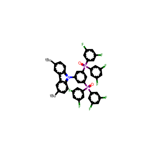 CC(C)(C)c1ccc2c(c1)c1cc(C(C)(C)C)ccc1n2-c1cc(P(=O)(c2cc(F)cc(F)c2)c2cc(F)cc(F)c2)cc(P(=O)(c2cc(F)cc(F)c2)c2cc(F)cc(F)c2)c1